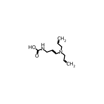 C=CCN(C=CCNC(=O)O)CC=C